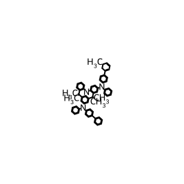 CC1C=CC=C(c2ccc(N(c3ccccc3)c3ccc4c(c3)C(C)(C)c3cc(N(c5ccccc5)c5ccc(-c6ccccc6)cc5)cc5c3N4c3ccccc3C5(C)C)cc2)C1